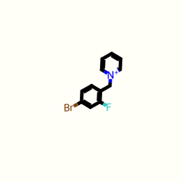 Fc1cc(Br)ccc1C[n+]1ccccc1